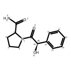 NC(=O)C1CCCN1C(=O)[C@H](O)c1ccccc1